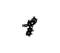 C[C@]12CCC3(C[C@@H]1C[C@@H](O)[C@@H]2c1ccc2ccncc2c1)OCCO3